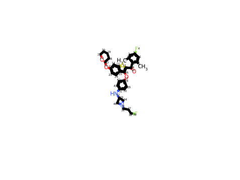 Cc1cc(F)cc(C)c1C(=O)c1sc2cc(OC3CCCCO3)ccc2c1Oc1ccc(NC2CN(CCCF)C2)cc1